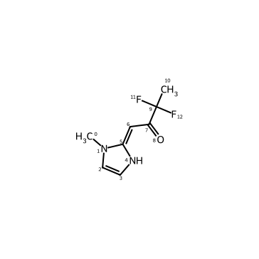 CN1C=CN/C1=C\C(=O)C(C)(F)F